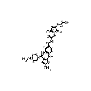 Cc1cc2c(s1)Nc1ccc(CNC(=O)CN3C(=O)CC(SCC=O)C3=O)cc1N=C2N1CCN(C)CC1